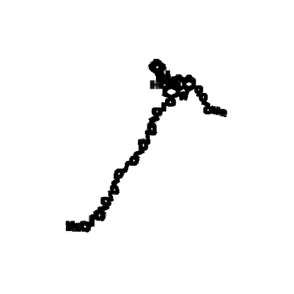 COCCOCCOCCOCCOCCOCCOCCOCCOCCO[C@H]1CC[C@@]2(O)[C@H]3Cc4ccc(OCOCCOC)c5c4[C@@]2(CCN3CC2CCC2)[C@H]1O5